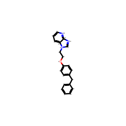 c1ccc(Cc2ccc(OCCn3cnc4ncccc43)cc2)cc1